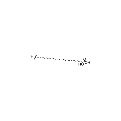 CCCCCCCCCCCCCCCCCCCCCCCC/C=C/CC(O)C(=O)O